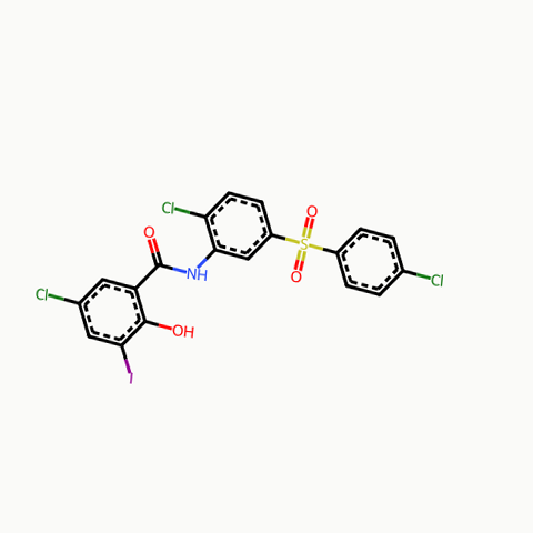 O=C(Nc1cc(S(=O)(=O)c2ccc(Cl)cc2)ccc1Cl)c1cc(Cl)cc(I)c1O